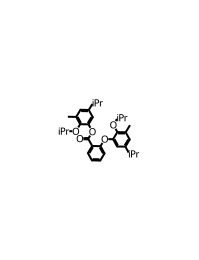 Cc1cc(C(C)C)cc(OC(=O)c2ccccc2Oc2cc(C(C)C)cc(C)c2OC(C)C)c1OC(C)C